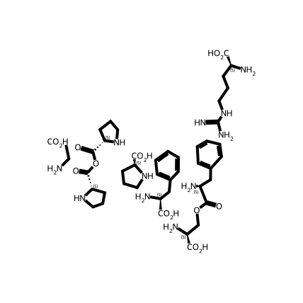 N=C(N)NCCC[C@H](N)C(=O)O.NCC(=O)O.N[C@@H](COC(=O)[C@@H](N)Cc1ccccc1)C(=O)O.N[C@@H](Cc1ccccc1)C(=O)O.O=C(O)[C@@H]1CCCN1.O=C(OC(=O)[C@@H]1CCCN1)[C@@H]1CCCN1